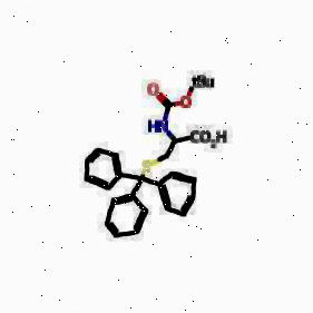 CC(C)(C)OC(=O)NC(CSC(c1ccccc1)(c1ccccc1)c1ccccc1)C(=O)O